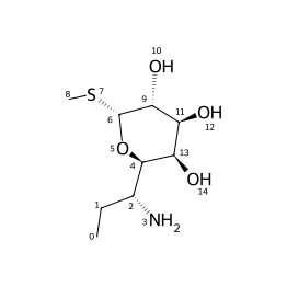 CC[C@@H](N)[C@H]1O[C@H](SC)[C@H](O)[C@@H](O)[C@H]1O